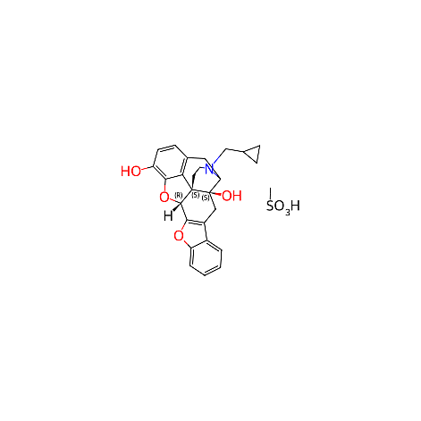 CS(=O)(=O)O.Oc1ccc2c3c1O[C@H]1c4oc5ccccc5c4C[C@@]4(O)C(C2)N(CC2CC2)CC[C@]314